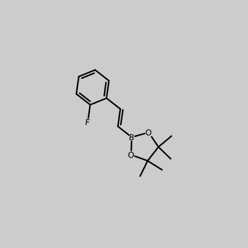 CC1(C)OB(C=Cc2ccccc2F)OC1(C)C